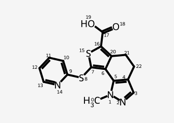 Cn1ncc2c1-c1c(Sc3ccccn3)sc(C(=O)O)c1CC2